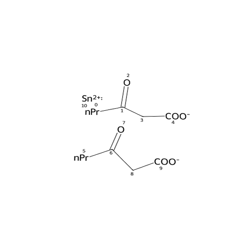 CCCC(=O)CC(=O)[O-].CCCC(=O)CC(=O)[O-].[Sn+2]